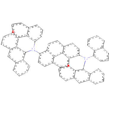 c1ccc2c(N(c3c4ccccc4cc4ccccc34)c3ccc4ccc5c(N(c6cccc7ccccc67)c6c7ccccc7cc7ccccc67)ccc6ccc3c4c65)cccc2c1